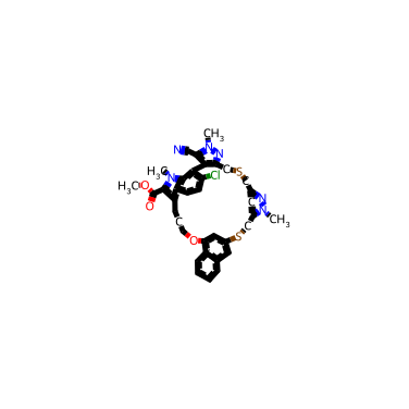 COC(=O)c1c2c3ccc(Cl)c(c3n1C)-c1c(nn(C)c1C#N)CSCc1cc(n(C)n1)CSc1cc(c3ccccc3c1)OCCC2